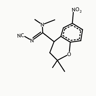 CN(C)C(=NC#N)C1CC(C)(C)Oc2ccc([N+](=O)[O-])cc21